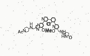 COc1nc(-c2cccc(-c3ccnc(-c4cc(OC)c5nc(CNC6CCN(C(C)=O)CC6)cn5c4)c3Cl)c2Cl)ccc1CNC[C@H]1CCC(=O)N1